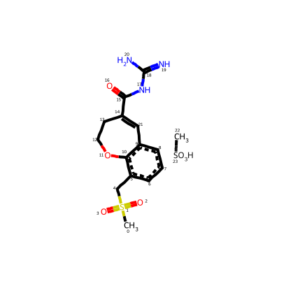 CS(=O)(=O)Cc1cccc2c1OCCC(C(=O)NC(=N)N)=C2.CS(=O)(=O)O